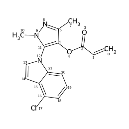 C=CC(=O)Oc1c(C)nn(C)c1-n1ccc2c(Cl)cccc21